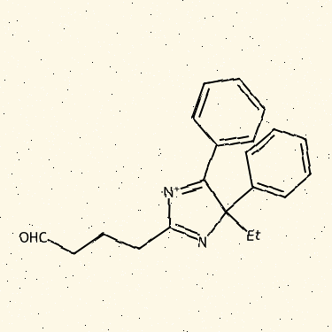 CCC1(c2ccccc2)N=C(CCCC=O)[N+]=C1c1ccccc1